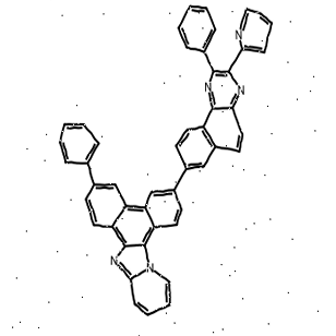 c1ccc(-c2ccc3c(c2)c2cc(-c4ccc5c(ccc6nc(-c7ccccn7)c(-c7ccccc7)nc65)c4)ccc2c2c3nc3ccccn32)cc1